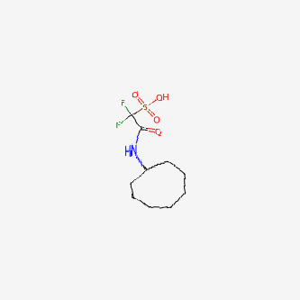 O=C(NC1CCCCCCC1)C(F)(F)S(=O)(=O)O